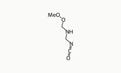 COOCNCN=C=O